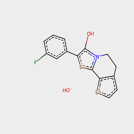 Oc1c(-c2cccc(F)c2)sc2[n+]1CCc1ccsc1-2.[OH-]